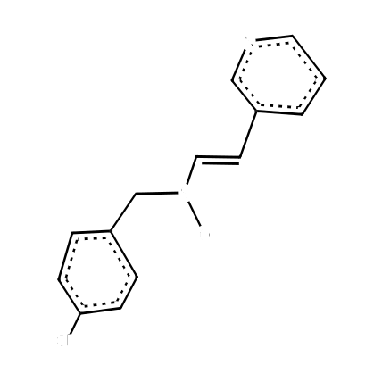 [O-][S+](C=Cc1cccnc1)Cc1ccc(Cl)cc1